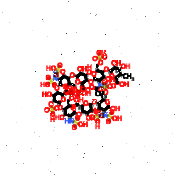 CC(=O)N[C@H]1[C@@H](O[C@H]2[C@H](O)[C@@H](O)[C@H](O[C@H]3[C@H](OS(=O)(=O)O)[C@@H](NS(=O)(=O)O)[C@@H](O[C@H]4[C@H](O)[C@@H](OS(=O)(=O)O)[C@H](O[C@H]5[C@H](O)[C@@H](NS(=O)(=O)O)[C@@H](O[C@H]6[C@H](O)[C@@H](OS(=O)(=O)O)[C@H](O[C@H]7[C@H](O)[C@@H](NS(=O)(=O)O)C(O)O[C@@H]7COS(=O)(=O)O)O[C@H]6C(=O)O)O[C@@H]5COS(=O)(=O)O)O[C@H]4C(=O)O)O[C@@H]3COS(=O)(=O)O)O[C@@H]2C(=O)O)O[C@H](COS(=O)(=O)O)[C@@H](O[C@@H]2OC(C(=O)O)[C@@H](C)[C@H](O)[C@H]2O)[C@@H]1O